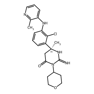 Cc1ncccc1Nc1cccc([C@]2(C)CC(=O)N(C3CCOCC3)C(=N)N2)c1Cl